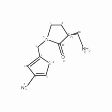 N#Cc1csc(CN2CC[C@@H](CN)C2=O)c1